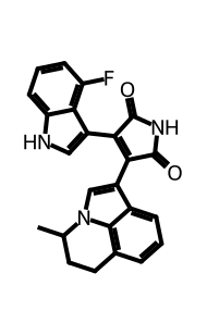 CC1CCc2cccc3c(C4=C(c5c[nH]c6cccc(F)c56)C(=O)NC4=O)cn1c23